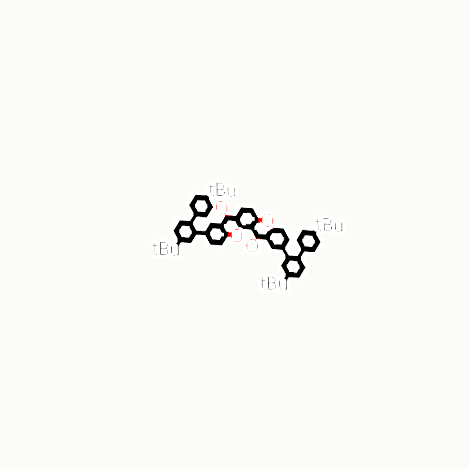 CC(C)(C)c1ccc(-c2ccc(C(C)(C)C)cc2-c2ccc3oc4c(ccc5oc6ccc(-c7cc(C(C)(C)C)ccc7-c7ccc(C(C)(C)C)cc7)cc6c(=O)c54)c(=O)c3c2)cc1